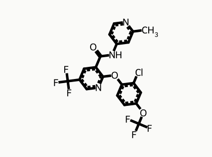 Cc1cc(NC(=O)c2cc(C(F)(F)F)cnc2Oc2ccc(OC(F)(F)F)cc2Cl)ccn1